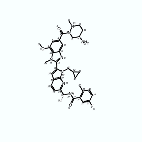 COc1cc(C(=O)N2C[C@H](N)CCN2C)cc2nc(-c3cc4ccc([C@@H](C)NC(=O)c5cc(F)ccc5C)nc4n3CC3CC3)n(C)c12